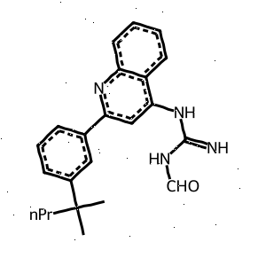 CCCC(C)(C)c1cccc(-c2cc(NC(=N)NC=O)c3ccccc3n2)c1